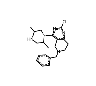 CC1CN(c2nc(Cl)nc3c2CN(Cc2ccccc2)CC3)C(C)CN1